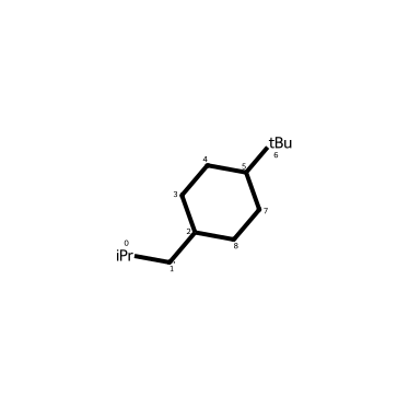 CC(C)[CH]C1CCC(C(C)(C)C)CC1